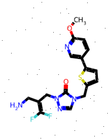 COc1ccc(-c2ccc(Cn3cnn(CC(CN)=C(F)F)c3=O)s2)cn1